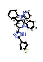 Fc1ccc(-c2nnc([C@H]3Cc4c([nH]c5ccccc45)C(c4ccccc4)(c4cccnc4)N3)[nH]2)cc1